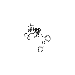 CCO[P@@](=O)(CCc1ccccc1OCc1ccccc1)[C@@H](CCC(=O)OC)N[S@@+]([O-])C(C)(C)C